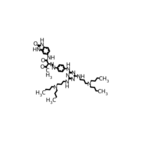 CCCCN(CCCC)CCCNc1nc(NCCCN(CCCC)CCCC)nc(Nc2ccc(N=NC(C(C)=O)C(=O)Nc3ccc4[nH]c(=O)[nH]c4c3)cc2)n1